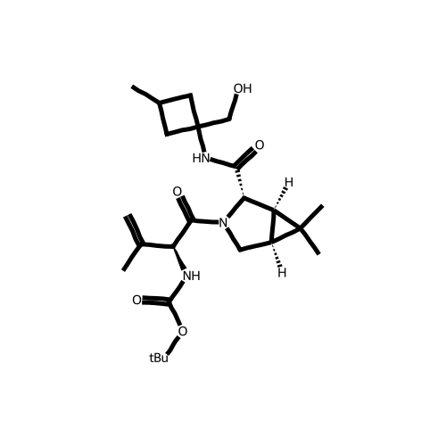 C=C(C)[C@H](NC(=O)OC(C)(C)C)C(=O)N1C[C@H]2[C@@H]([C@H]1C(=O)NC1(CO)CC(C)C1)C2(C)C